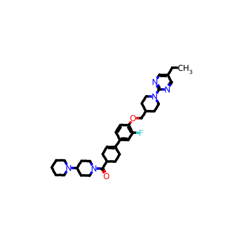 CCc1cnc(N2CCC(COc3ccc(C4=CCC(C(=O)N5CCC(N6CCCCC6)CC5)CC4)cc3F)CC2)nc1